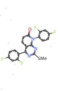 CSc1nc(-c2ccc(F)cc2F)c2ccc(=O)n(-c3ccc(F)cc3F)c2n1